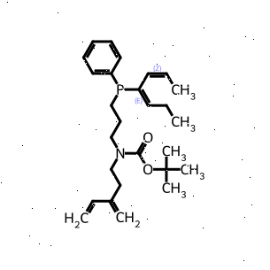 C=CC(=C)CCN(CCCP(C(/C=C\C)=C/CC)c1ccccc1)C(=O)OC(C)(C)C